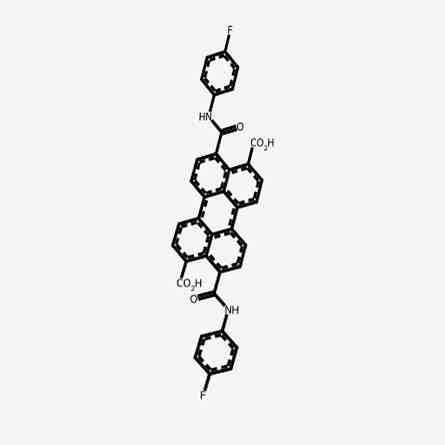 O=C(O)c1ccc2c3ccc(C(=O)Nc4ccc(F)cc4)c4c(C(=O)O)ccc(c5ccc(C(=O)Nc6ccc(F)cc6)c1c25)c43